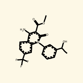 COC(=O)c1c(N)c2ccc(C(F)(F)F)cc2n(-c2cccc(C(C)O)c2)c1=O